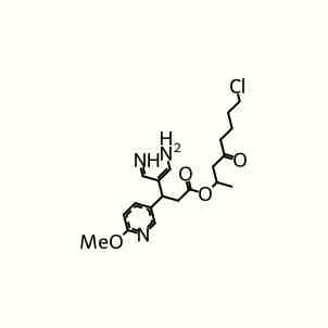 COc1ccc(C(CC(=O)OC(C)CC(=O)CCCCCl)/C(C=N)=C/N)cn1